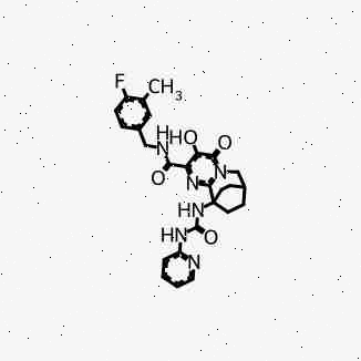 Cc1cc(CNC(=O)c2nc3n(c(=O)c2O)CC2CCC3(NC(=O)Nc3ccccn3)CC2)ccc1F